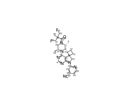 C[C@@H]1CN(c2ncnc3c2C2(CCC2)CN3c2cc(C#N)ccn2)[C@@H](C)CN1C(=O)C(C)(CF)CF